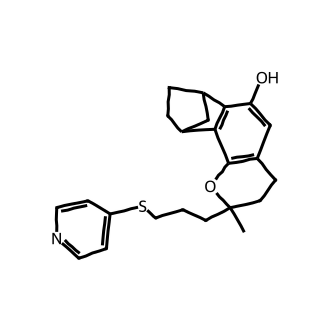 CC1(CCCSc2ccncc2)CCc2cc(O)c3c(c2O1)C1CCC3C1